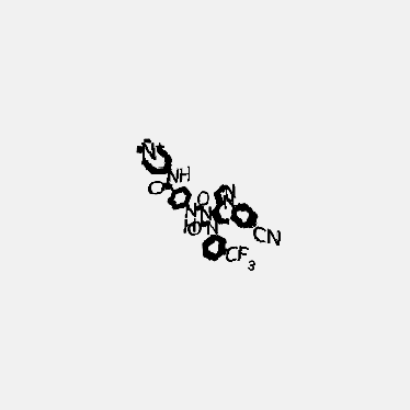 Cc1c(-c2ccnn2-c2ccc(C#N)cc2)n(C(=O)N[C@H]2CC[C@H](C(=O)NC3CC[N+](C)(C)CC3)CC2)c(=O)n1-c1cccc(C(F)(F)F)c1